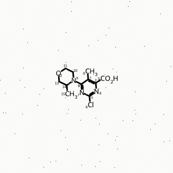 Cc1c(C(=O)O)nc(Cl)nc1N1CCOCC1C